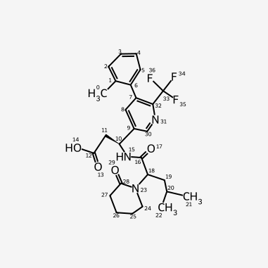 Cc1ccccc1-c1cc([C@H](CC(=O)O)NC(=O)C(CC(C)C)N2CCCCC2=O)cnc1C(F)(F)F